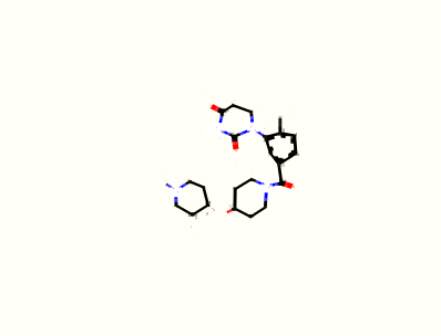 COc1ccc(C(=O)N2CCC(O[C@@H]3CCN(C(=O)O)C[C@H]3F)CC2)cc1N1CCC(=O)NC1=O